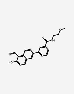 COCCNC(=O)c1cccc(-c2ccc3c(C=O)c(O)ccc3c2)c1